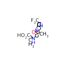 CC(CC(=O)O)N[C@@H]1CC[C@@]2(C1)C(=O)N1Cc3cc(C(F)(F)F)cnc3CC1C2C